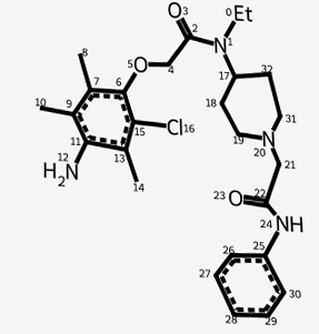 CCN(C(=O)COc1c(C)c(C)c(N)c(C)c1Cl)C1CCN(CC(=O)Nc2ccccc2)CC1